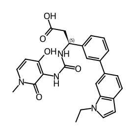 CCn1ccc2ccc(-c3cccc([C@H](CC(=O)O)NC(=O)Nc4c(O)ccn(C)c4=O)c3)cc21